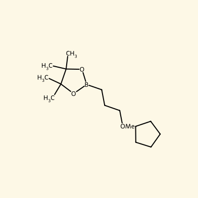 C1CCCC1.COCCCB1OC(C)(C)C(C)(C)O1